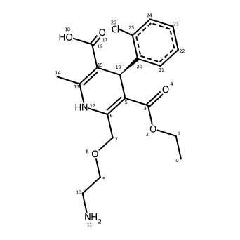 CCOC(=O)C1=C(COCCN)NC(C)=C(C(=O)O)[C@H]1c1ccccc1Cl